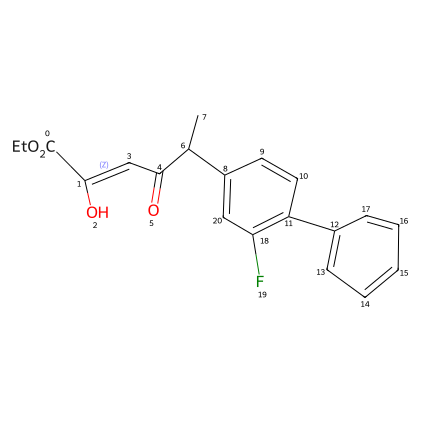 CCOC(=O)/C(O)=C/C(=O)C(C)c1ccc(-c2ccccc2)c(F)c1